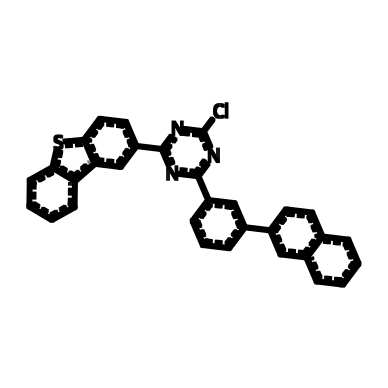 Clc1nc(-c2cccc(-c3ccc4ccccc4c3)c2)nc(-c2ccc3sc4ccccc4c3c2)n1